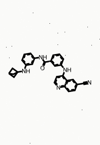 N#Cc1ccc2nccc(Nc3cccc(C(=O)Nc4cccc(NC56CC(C5)C6)c4)c3)c2c1